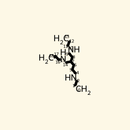 C=CCNCCCC(CCNCC=C)CNCC=C